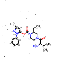 CCC1CN(C(=O)C(N)C(C)C)CCN1C(=O)Oc1cc(C)nn1-c1ccccc1